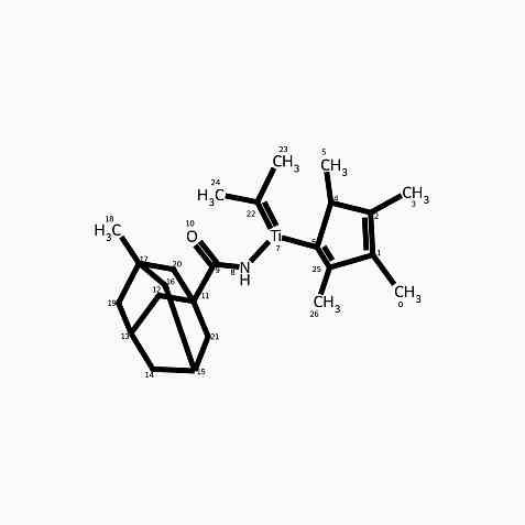 CC1=C(C)C(C)[C]([Ti]([NH]C(=O)C23CC4CC(CC(C)(C4)C2)C3)=[C](C)C)=C1C